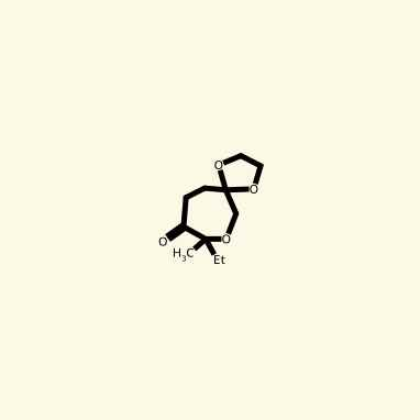 CCC1(C)OCC2(CCC1=O)OCCO2